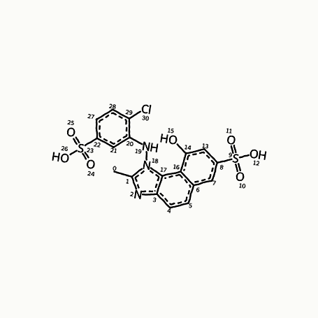 Cc1nc2ccc3cc(S(=O)(=O)O)cc(O)c3c2n1Nc1cc(S(=O)(=O)O)ccc1Cl